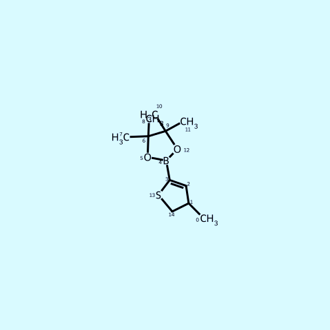 CC1C=C(B2OC(C)(C)C(C)(C)O2)SC1